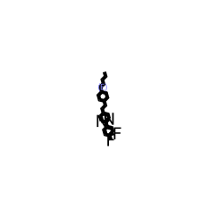 CCC/C=C/C1CCC(CCc2cnc(-c3ccc(F)c(F)c3)nc2)CC1